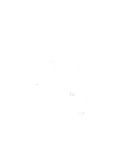 Cc1cccc(N(C)S(C)(=O)=O)c1C(C)(C)C